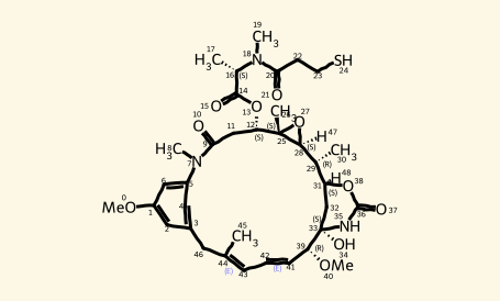 COc1cc2cc(c1)N(C)C(=O)C[C@H](OC(=O)[C@H](C)N(C)C(=O)CCS)[C@]1(C)O[C@H]1[C@H](C)[C@@H]1C[C@@](O)(NC(=O)O1)[C@H](OC)/C=C/C=C(\C)C2